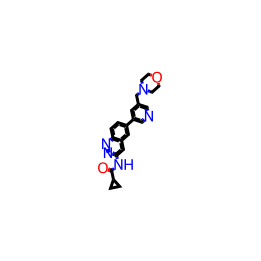 O=C(Nc1cc2cc(-c3cncc(CN4CCOCC4)c3)ccc2nn1)C1CC1